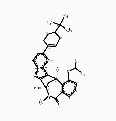 CN1C(=O)c2cccc(OC(F)F)c2[C@H]2C[C@@H]1c1nn3ccc(C4=CCC(C(C)(C)O)CC4)nc3c12